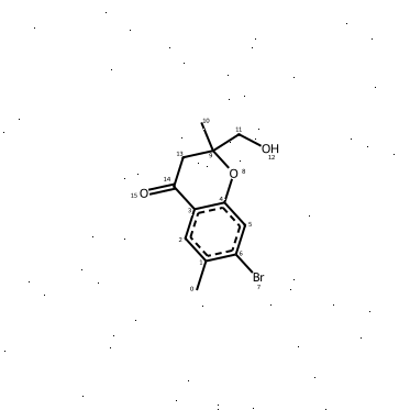 Cc1cc2c(cc1Br)OC(C)(CO)CC2=O